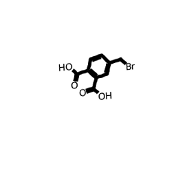 O=C(O)c1ccc(CBr)cc1C(=O)O